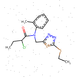 CCSc1nnc(CN(C(=O)C(Cl)CC)c2ccccc2C)s1